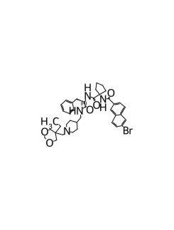 CCC1(CN2CCC(CNC(=O)[C@@H](Cc3ccccc3)NC(=O)C3(NC(=O)c4ccc5cc(Br)ccc5c4)CCCC3)CC2)COCOC1